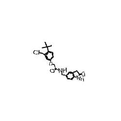 CC(C)(C)c1ccc(OCC(=O)NCc2ccc3c(c2)CC(=O)N3)cc1Cl